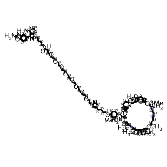 CO[C@H]1C[C@@H]2CC[C@@H](C)[C@@](O)(O2)C(=O)C(=O)N2CCCC[C@H]2C(=O)O[C@H]([C@H](N)C[C@@H]2CC[C@@H](OCCCCc3cn(CCOCCOCCOCCOCCOCCOCCOCCOCCC(=O)NCCCCn4nc(-c5ccc6oc(N)nc6c5)c5c(N)ncnc54)nn3)[C@H](OC)C2)CC(=O)[C@H](C)/C=C(\C)[C@@H](O)[C@@H](OC)C(=O)[C@H](C)C[C@H](C)/C=C/C=C/C=C/1C